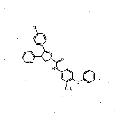 Cc1cc(NC(=O)N2CC(c3ccccc3)C(c3ccc(Cl)cc3)=N2)ccc1Oc1ccccc1